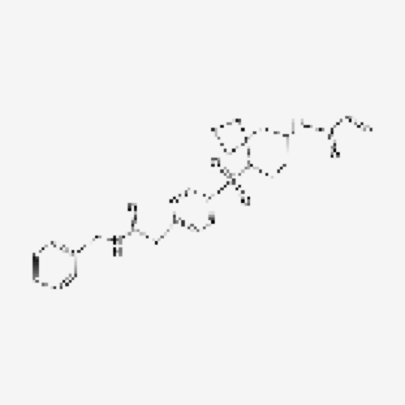 C=CC(=O)NC1CCN(S(=O)(=O)c2ccc(CC(=O)NCc3ccccc3)cc2)C2(CCC2)C1